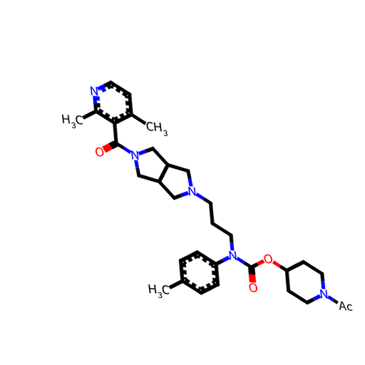 CC(=O)N1CCC(OC(=O)N(CCCN2CC3CN(C(=O)c4c(C)ccnc4C)CC3C2)c2ccc(C)cc2)CC1